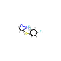 Fc1ccc(Sc2ccn[nH]2)c(F)c1